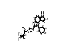 O=C(NCCc1nc2cnc3[nH]ccc3c2n1C1CCCCC1)C1CC1(F)F